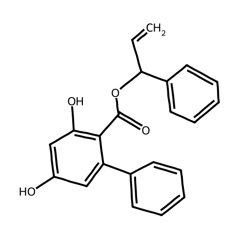 C=CC(OC(=O)c1c(O)cc(O)cc1-c1ccccc1)c1ccccc1